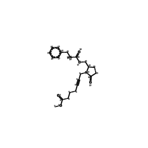 COC(=O)CCCC#CCN1C(=O)CCC1COC(=O)NCc1ccccc1